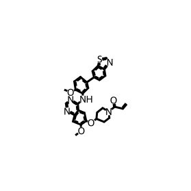 C=CC(=O)N1CCC(Oc2cc3c(Nc4cc(-c5ccc6ncsc6c5)ccc4OC)ncnc3cc2OC)CC1